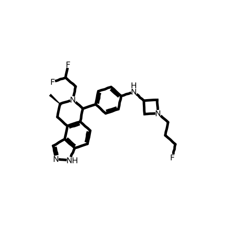 C[C@@H]1Cc2c(ccc3[nH]ncc23)C(c2ccc(NC3CN(CCCF)C3)cc2)N1CC(F)F